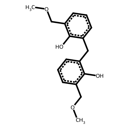 COCc1cccc(Cc2cccc(COC)c2O)c1O